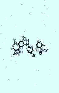 COc1cc2c(cc1Nc1ncc(Br)c(Nc3ccnc(C)c3[N+](=O)[O-])n1)-c1cnn(C)c1CCN2C